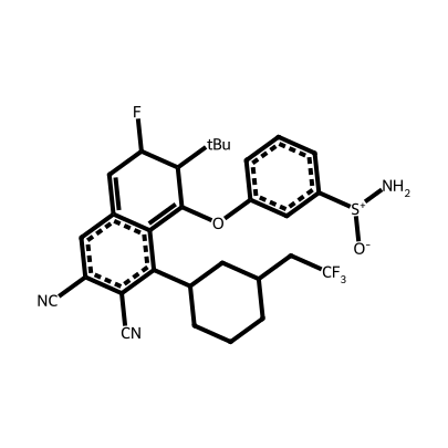 CC(C)(C)C1C(Oc2cccc([S+](N)[O-])c2)=c2c(C3CCCC(CC(F)(F)F)C3)c(C#N)c(C#N)cc2=CC1F